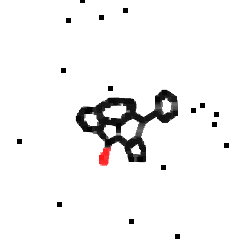 O=C1c2cccc3ccc4c(c23)C1C1=C(CC=C1)C4c1ccccc1